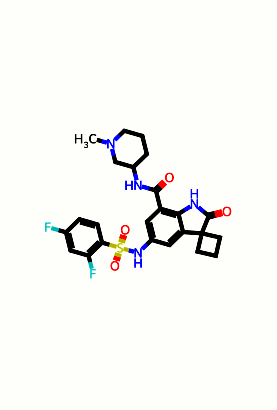 CN1CCCC(NC(=O)c2cc(NS(=O)(=O)c3ccc(F)cc3F)cc3c2NC(=O)C32CCC2)C1